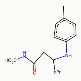 CCCC(CC(=O)NC(=O)O)Nc1ccc(C)cc1